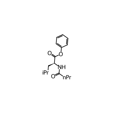 CCCC(=O)N[C@@H](CC(C)C)C(=O)Oc1ccccc1